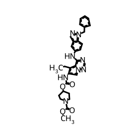 CCc1c(NC(=O)OC2CCN(C(=O)OC)CC2)cn2ncnc(Nc3ccc4c(cnn4Cc4ccccc4)c3)c12